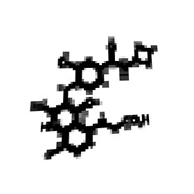 CCc1[nH]c2c(F)ccc(OCC(=O)O)c2c(=O)c1Cc1ccc(C(=O)NC2CCC2)cc1Cl